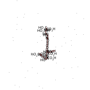 O=C(O)CC[C@H](NC(=O)N[C@@H](CCCCNC(=O)Nc1cccc(-c2cn(CCOCCOCCOCCOCCOCCOCCC(=O)N[C@@H](CCCCNC(=O)Nc3cc(CN(CCO)CCOCCOCCN(CCO)Cc4cccc(C(=O)O)n4)nc(C(=O)O)c3)C(=O)N[C@@H](CCCCNC(=O)Cc3ccc(I)cc3)C(=O)O)nn2)c1)C(=O)O)C(=O)O